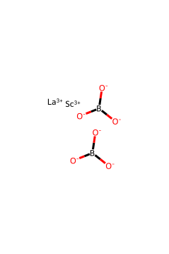 [La+3].[O-]B([O-])[O-].[O-]B([O-])[O-].[Sc+3]